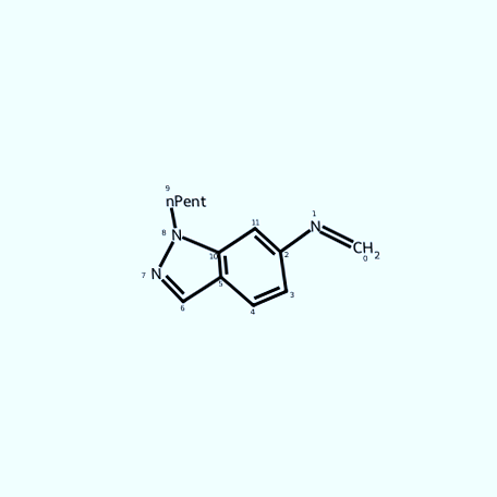 C=Nc1ccc2cnn(CCCCC)c2c1